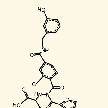 C[C@H](NN(C(=O)c1ccco1)C(=O)c1ccc(C(=O)NCc2cccc(O)c2)cc1Cl)C(=O)O